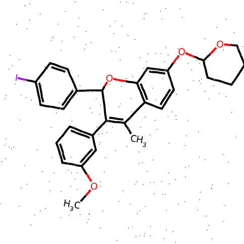 COc1cccc(C2=C(C)c3ccc(OC4CCCCO4)cc3OC2c2ccc(I)cc2)c1